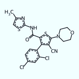 Cc1csc(NC(=O)c2sc(N3CCOCC3)c(C#N)c2-c2ccc(Cl)cc2Cl)n1